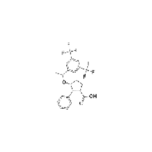 CC(OC1CCC(C(=O)O)C1c1ccccc1)c1cc(C(F)(F)F)cc(C(F)(F)F)c1